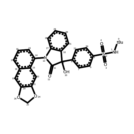 CC(C)(C)NS(=O)(=O)c1ccc(C2(O)C(=O)N(c3cccc4cc5c(cc34)OCO5)c3ccccc32)cc1